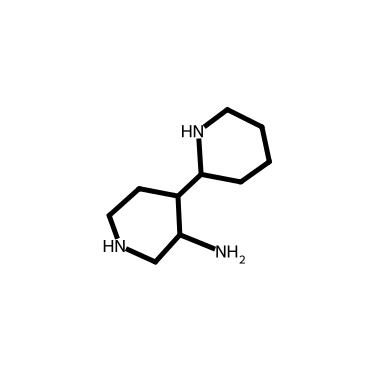 NC1CNCCC1C1CCCCN1